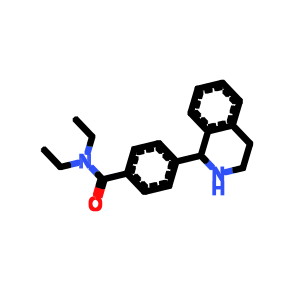 CCN(CC)C(=O)c1ccc(C2NCCc3ccccc32)cc1